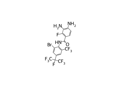 Nc1ccc(C(=O)Nc2c(Br)cc(C(F)(C(F)(F)F)C(F)(F)F)cc2C(F)(F)F)c(F)c1N